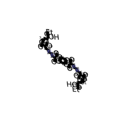 CCOC(O)CCC1(C)OC(=O)C(=C/C=C/C=C/C2C(=O)OC3(CCC4(CC3)OC(=O)C(/C=C/C=C/C=C3C(=O)OC(C)(CCC(O)OCC)OC3=O)C(=O)O4)OC2=O)C(=O)O1